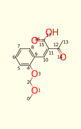 COCOc1ccccc1C=C(C(C)=O)C(=O)O